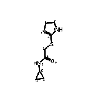 O=C(CSC1=NCCN1)NC1CC1